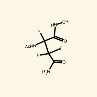 CC(=O)NC(F)(C(=O)NO)C(F)(F)C(N)=O